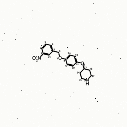 O=[N+]([O-])c1cccc(COc2ccc(OC3CCNCC3)cc2)c1